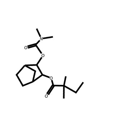 CCC(C)(C)C(=O)OC1C2CCC(C2)C1OC(=O)N(C)C